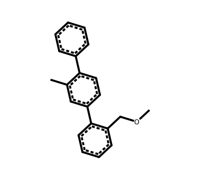 COCc1ccccc1-c1ccc(-c2ccccc2)c(C)c1